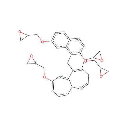 C1=CC2C=CCC(CC3CO3)=C(Cc3c(OCC4CO4)ccc4ccc(OCC5CO5)cc34)C2=CC(OCC2CO2)=C1